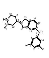 Cc1cc(C)cc(Nc2ncc3c(n2)CN([C@@H]2CCN[C@H](C)C2)C3)c1